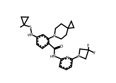 CC1(SNc2ccc(C(=O)Nc3cccc(N4CC(F)(F)C4)n3)c(N3CCC4(CC3)CC4)c2)CC1